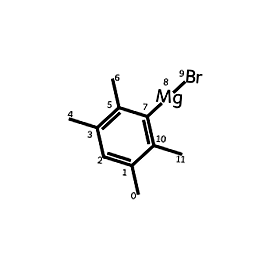 Cc1cc(C)c(C)[c]([Mg][Br])c1C